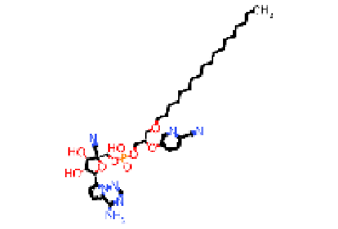 CCCCCCCCCCCCCCCCCCOC[C@H](COP(=O)(O)OC[C@@]1(C#N)O[C@@H](c2ccc3c(N)ncnn23)[C@H](O)[C@@H]1O)Oc1ccc(C#N)nc1